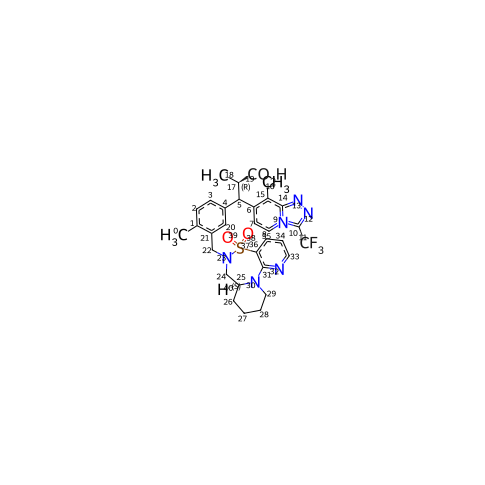 Cc1ccc(C(c2ccn3c(C(F)(F)F)nnc3c2C)[C@@H](C)C(=O)O)cc1CN1C[C@@H]2CCCCN2c2ncccc2S1(=O)=O